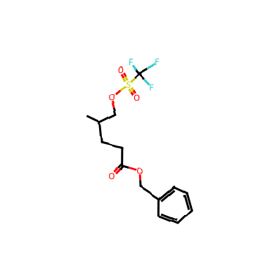 CC(CCC(=O)OCc1ccccc1)COS(=O)(=O)C(F)(F)F